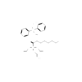 CCCCCCCC(=O)[Si](OCC)(OCC)OCC.CO[Si](OC)(c1ccccc1)c1ccccc1